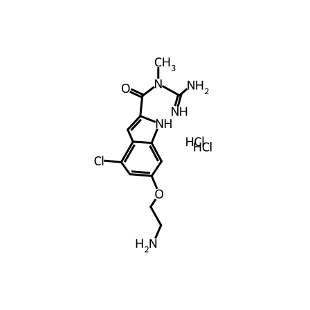 CN(C(=N)N)C(=O)c1cc2c(Cl)cc(OCCN)cc2[nH]1.Cl.Cl